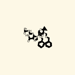 CC(C)C(=O)Nc1nc2c(ncn2[C@@H]2O[C@]3(COCc4ccccc4)C(OCc4ccccc4)C2OC32CC2)c(=O)[nH]1